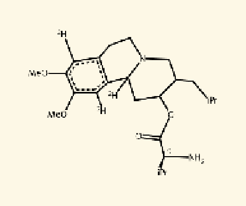 [2H]c1c2c(c([2H])c(OC)c1OC)C1([2H])CC(OC(=O)[C@@H](N)C(C)C)C(CC(C)C)CN1CC2